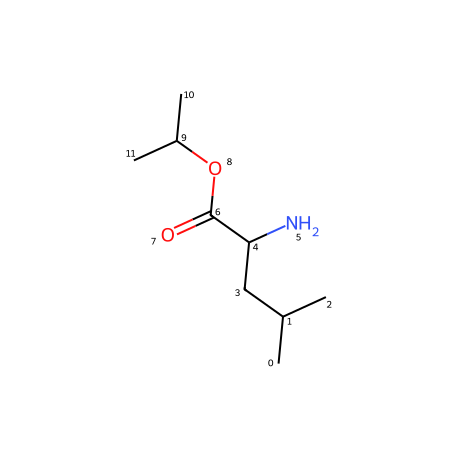 CC(C)CC(N)C(=O)OC(C)C